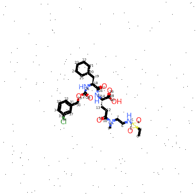 CCS(=O)(=O)NCCN(C)C(=O)CC[C@H](NC(=O)[C@H](CC1CCCCC1)NC(=O)OCc1cccc(Cl)c1)C(=O)O